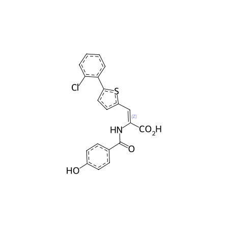 O=C(O)/C(=C/c1ccc(-c2ccccc2Cl)s1)NC(=O)c1ccc(O)cc1